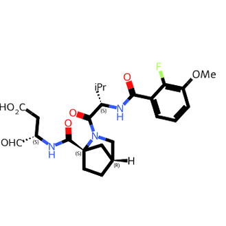 COc1cccc(C(=O)N[C@H](C(=O)N2C[C@@H]3CC[C@@]2(C(=O)N[C@H](C=O)CC(=O)O)C3)C(C)C)c1F